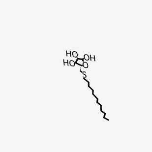 CCCCCCCCCCCCSC[C@H]1OC(O)[C@H](O)[C@@H]1O